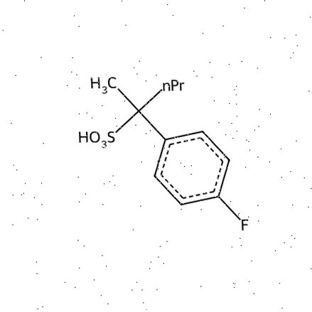 CCCC(C)(c1ccc(F)cc1)S(=O)(=O)O